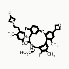 Cc1cc2cc(c1F)[C@H](CC(=O)O)NC(=O)[C@H](n1cc(CCN3CC(F)C3)c(C(F)(F)F)cc1=O)c1cc(ccc1F)Oc1cc(C3COC3)cc(C)c1-2